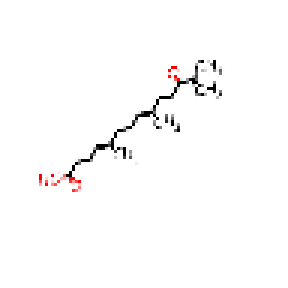 C=C(C)C(=O)CC/C(C)=C/CC/C(C)=C/CCC(=O)O